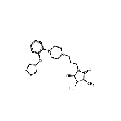 CC1C(=O)N(CCCN2CCN(c3ccccc3OC3CCCC3)CC2)C(=O)C1C